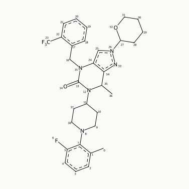 Cc1cccc(F)c1N1CCC(N2C(=O)N(Cc3ccccc3C(F)(F)F)c3cn(C4CCCCO4)nc3C2C)CC1